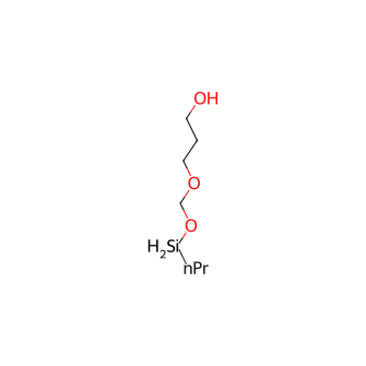 CCC[SiH2]OCOCCCO